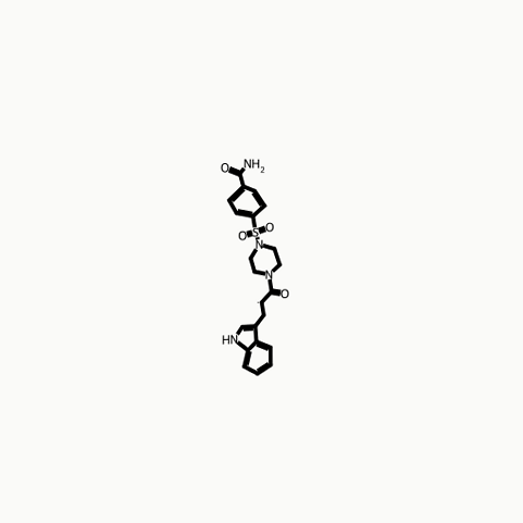 NC(=O)c1ccc(S(=O)(=O)N2CCN(C(=O)[CH]Cc3c[nH]c4ccccc34)CC2)cc1